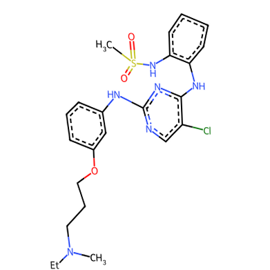 CCN(C)CCCOc1cccc(Nc2ncc(Cl)c(Nc3ccccc3NS(C)(=O)=O)n2)c1